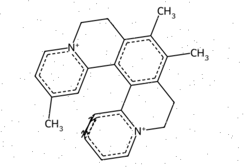 Cc1cc[n+]2c(c1)-c1c(c(C)c(C)c3c1-c1c4ccccc4cc[n+]1CC3)CC2